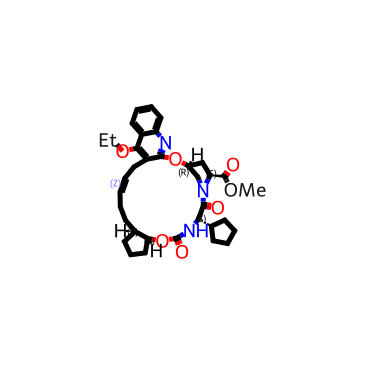 CCOc1c2c(nc3ccccc13)O[C@@H]1C[C@@H](C(=O)OC)N(C1)C(=O)[C@H](C1CCCC1)NC(=O)O[C@@H]1CCC[C@H]1CC/C=C\C2